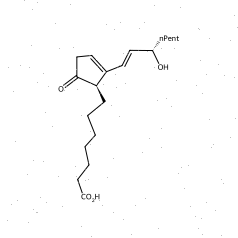 CCCCC[C@H](O)/C=C/C1=CCC(=O)[C@@H]1CCCCCCC(=O)O